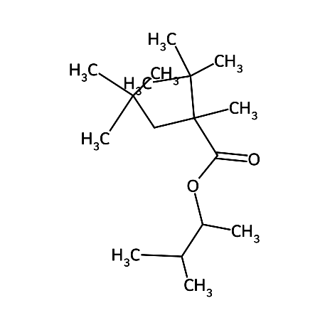 CC(C)C(C)OC(=O)C(C)(CC(C)(C)C)C(C)(C)C